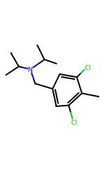 Cc1c(Cl)cc(CN(C(C)C)C(C)C)cc1Cl